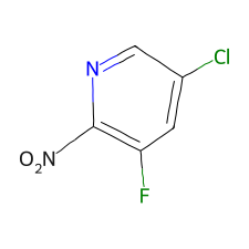 O=[N+]([O-])c1ncc(Cl)cc1F